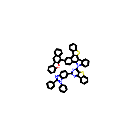 c1ccc(-c2nc3ccc(-c4nc(-n5c6ccccc6c6c7sc8ccccc8c7c7cc(-c8c9ccccc9cc9c8oc8ccccc89)ccc7c65)c5sc6ccccc6c5n4)cc3n2-c2ccccc2)cc1